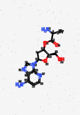 CC(C)C(N)C(=O)O[C@@H]1C[C@H](n2cnc3c(N)ccnc32)O[C@@H]1CO